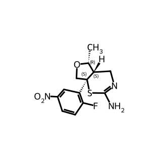 C[C@H]1OC[C@]2(c3cc([N+](=O)[O-])ccc3F)SC(N)=NC[C@@H]12